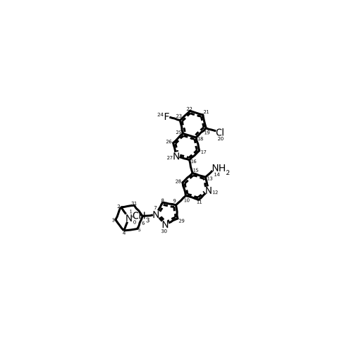 CN1C2CC1CC(n1cc(-c3cnc(N)c(-c4cc5c(Cl)ccc(F)c5cn4)c3)cn1)C2